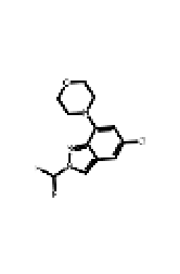 FC(F)n1cc2cc(Cl)cc(N3CCOCC3)c2n1